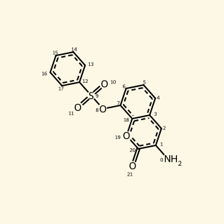 Nc1cc2cccc(OS(=O)(=O)c3ccccc3)c2oc1=O